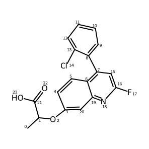 CC(Oc1ccc2c(-c3ccccc3Cl)cc(F)nc2c1)C(=O)O